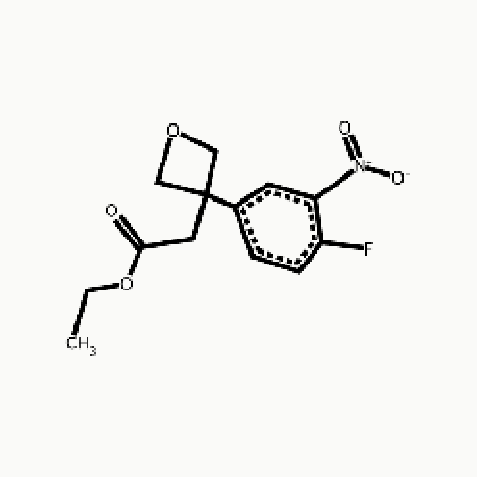 CCOC(=O)CC1(c2ccc(F)c([N+](=O)[O-])c2)COC1